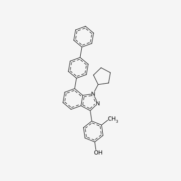 Cc1cc(O)ccc1-c1nn(C2CCCC2)c2c(-c3ccc(-c4ccccc4)cc3)cccc12